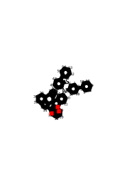 c1ccc(-c2ccc(N(c3ccc4c(c3)C3(c5ccccc5-4)c4ccccc4-c4cccc5ccc(-c6ccccc6)c3c45)c3cccc4c3sc3ccccc34)cc2)cc1